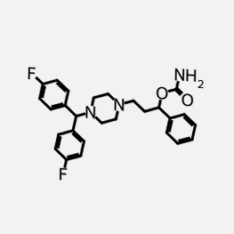 NC(=O)OC(CCN1CCN(C(c2ccc(F)cc2)c2ccc(F)cc2)CC1)c1ccccc1